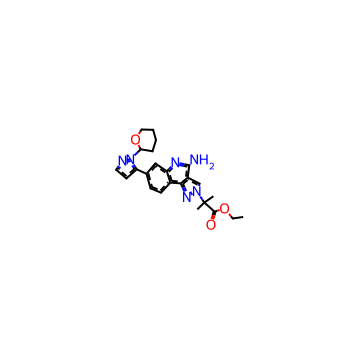 CCOC(=O)C(C)(C)n1cc2c(N)nc3cc(-c4ccnn4C4CCCCO4)ccc3c2n1